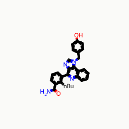 CCCCc1c(C(N)=O)cccc1-c1nc2ccccc2c2c1ncn2Cc1ccc(O)cc1